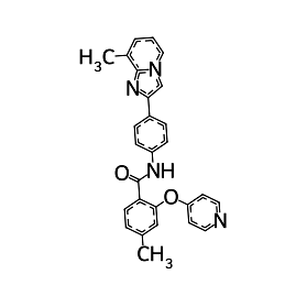 Cc1ccc(C(=O)Nc2ccc(-c3cn4cccc(C)c4n3)cc2)c(Oc2ccncc2)c1